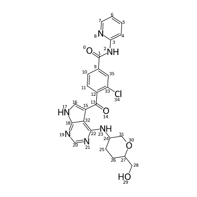 O=C(Nc1ccccn1)c1ccc(C(=O)c2c[nH]c3ncnc(NC4CCC(CO)OC4)c23)c(Cl)c1